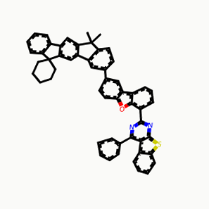 CC1(C)c2ccc(-c3ccc4oc5c(-c6nc(-c7ccccc7)c7c(n6)sc6ccccc67)cccc5c4c3)cc2-c2cc3c(cc21)-c1ccccc1C31CCCCC1